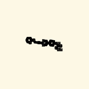 CC(C)(C)OC(=O)Nc1ccc(-c2cnc(C#CCOC3CCCCO3)nc2)cc1